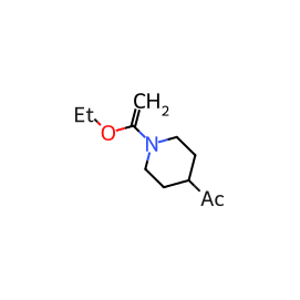 C=C(OCC)N1CCC(C(C)=O)CC1